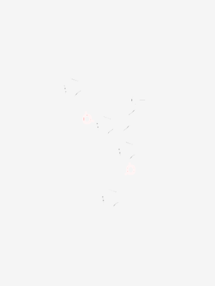 C/C=C/C=C(c1ccc(OCCc2ccccc2)cc1)c1ccc(OCCc2ccccc2)cc1